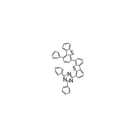 c1ccc(-c2nc(-c3ccccc3)nc(-c3cccc4c3sc3c(-c5ccc(-c6ccccc6)c6c5sc5ccccc56)cccc34)n2)cc1